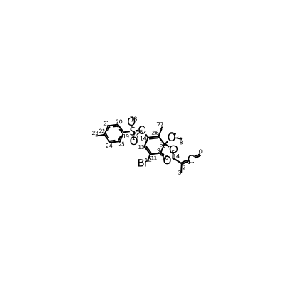 C=C=C(C)COC1(OC)C(=O)C(Br)=CC(OS(=O)(=O)c2ccc(C)cc2)=C1C